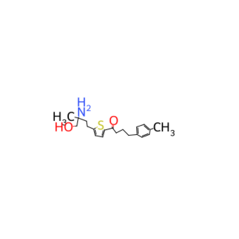 Cc1ccc(CCCC(=O)c2ccc(CCC(C)(N)CO)s2)cc1